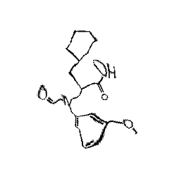 COc1cccc(N(C=O)[C@@H](CC2CCCCC2)C(=O)O)c1